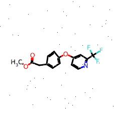 COC(=O)Cc1ccc(Oc2ccnc(C(F)(F)F)c2)cc1